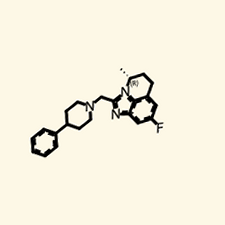 C[C@@H]1CCc2cc(F)cc3nc(CN4CCC(c5ccccc5)CC4)n1c23